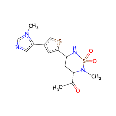 CC(=O)C1CC(c2cc(-c3cncn3C)cs2)NS(=O)(=O)N1C